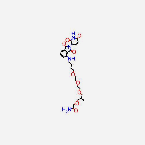 CC(COCCOCCOCCCCNc1cccc2c1C(=O)N(C1CCC(=O)NC1=O)C2=O)COCC(N)=O